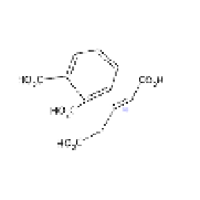 O=C(O)/C=C/CC(=O)O.O=C(O)c1ccccc1C(=O)O